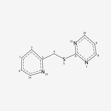 c1ccc(CSc2ncccn2)nc1